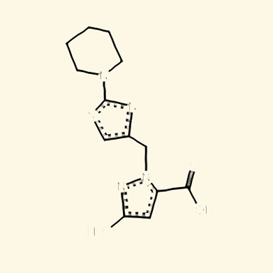 Cc1cc(C(=O)O)n(Cc2csc(N3CCCCC3)n2)n1